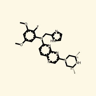 COc1cc(OC)c(F)c(N(Cc2ncc[nH]2)c2ccc3ncc(N4C[C@@H](C)N[C@@H](C)C4)nc3n2)c1